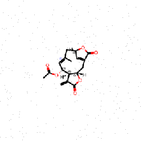 C=C1C(=O)O[C@H]2CC3=C[C@@H](C/C(C)=C/[C@@H](OC(C)=O)[C@H]12)OC3=O